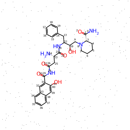 NC(=O)[C@@H]1CCCCN1CC(O)C(Cc1ccccc1)NC(=O)[C@@H](N)CC(=O)NC(=O)c1cc2ccccc2cc1O